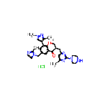 Cc1cc(CC2COc3c(cc(Cn4ccnc4C)cc3-c3cn(C)nc3C(F)(F)F)C2=O)nc(N2CCNCC2)n1.Cl